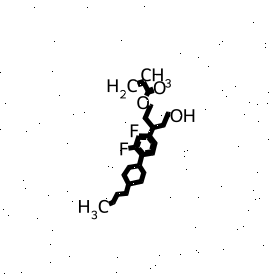 C=C(C)C(=O)OCCC(CCO)c1ccc(C2CCC(CCCC)CC2)c(F)c1F